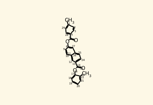 Cc1ccc(C(=O)Oc2ccc3cc(C(=O)Oc4ccccc4C)ccc3c2)cc1